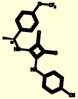 C[C@@H](Nc1c(Nc2ccc(C#N)cc2)c(=O)c1=O)c1ccc(OC(F)(F)F)cc1